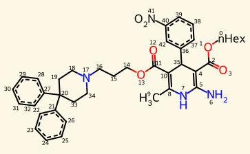 CCCCCCOC(=O)C1=C(N)NC(C)=C(C(=O)OCCCN2CCC(c3ccccc3)(c3ccccc3)CC2)C1c1cccc([N+](=O)[O-])c1